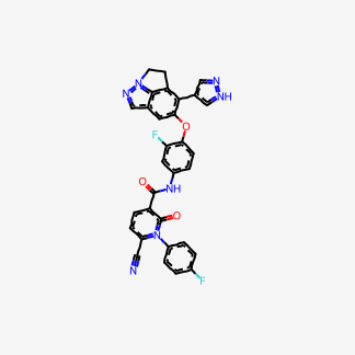 N#Cc1ccc(C(=O)Nc2ccc(Oc3cc4cnn5c4c(c3-c3cn[nH]c3)CC5)c(F)c2)c(=O)n1-c1ccc(F)cc1